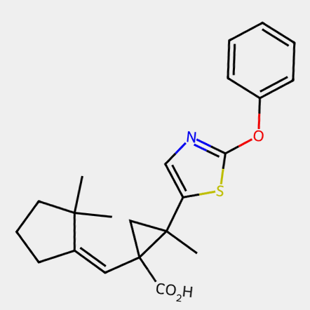 CC1(C)CCCC1=CC1(C(=O)O)CC1(C)c1cnc(Oc2ccccc2)s1